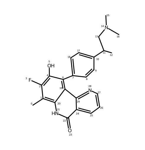 Cc1c(F)c(O)c(-c2ccc(C(C)CN(C)C)cc2)c2c1[nH]c(=O)c1cccnc12